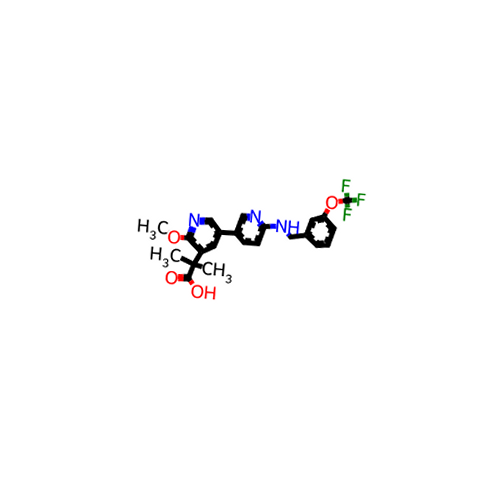 COc1ncc(-c2ccc(NCc3cccc(OC(F)(F)F)c3)nc2)cc1C(C)(C)C(=O)O